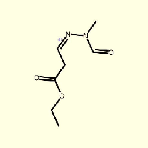 CCOC(=O)C/C=N\N(C)C=O